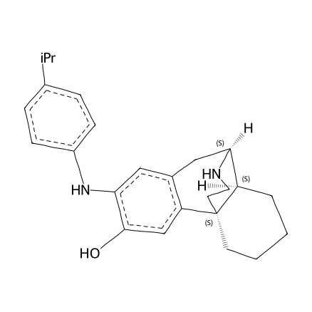 CC(C)c1ccc(Nc2cc3c(cc2O)[C@]24CCCC[C@@H]2[C@H](C3)NCC4)cc1